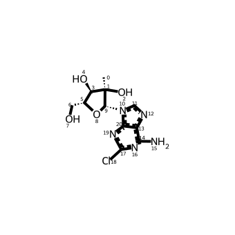 C[C@@]1(O)[C@H](O)[C@@H](CO)O[C@H]1n1cnc2c(N)nc(Cl)nc21